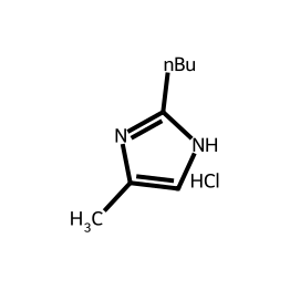 CCCCc1nc(C)c[nH]1.Cl